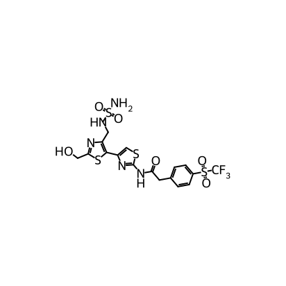 NS(=O)(=O)NCc1nc(CO)sc1-c1csc(NC(=O)Cc2ccc(S(=O)(=O)C(F)(F)F)cc2)n1